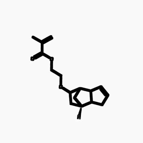 C=C(C)C(=O)OCCOC1C[C@H]2CC1C1C=CCC12